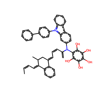 C=C(/C=C\C=C1/CC(C)/C(=C\C=C/C)c2ccccc21)N(c1ccc2c3ccccc3n(-c3ccc(-c4ccccc4)cc3)c2c1)c1c(O)c(O)c(O)c(O)c1O